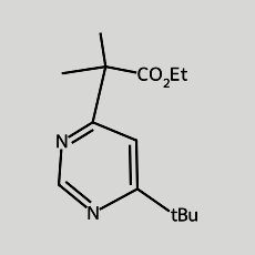 CCOC(=O)C(C)(C)c1cc(C(C)(C)C)ncn1